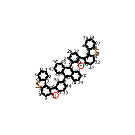 c1ccc2c(c1)sc1ccc3oc4ccc(-c5c6ccccc6c(-c6cccc7c6oc6ccc8sc9ccccc9c8c67)c6ccccc56)cc4c3c12